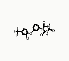 Cn1c(=O)[nH]c(=O)n(-c2cccc(Oc3ccc(C(F)(F)F)cc3Cl)c2)c1=O